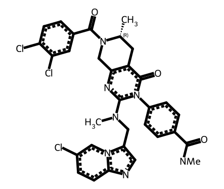 CNC(=O)c1ccc(-n2c(N(C)Cc3cnc4ccc(Cl)cn34)nc3c(c2=O)C[C@@H](C)N(C(=O)c2ccc(Cl)c(Cl)c2)C3)cc1